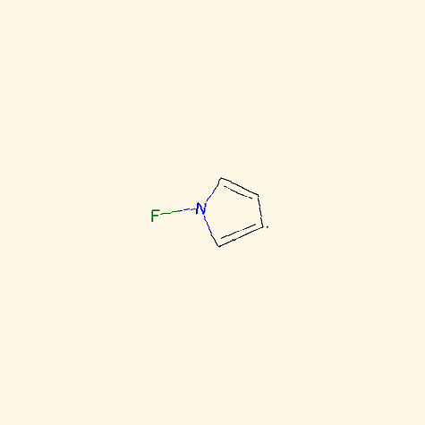 Fn1c[c]cc1